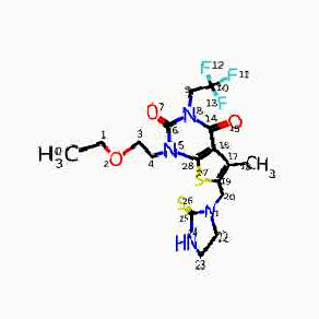 CCOCCn1c(=O)n(CC(F)(F)F)c(=O)c2c(C)c(CN3CCNC3=S)sc21